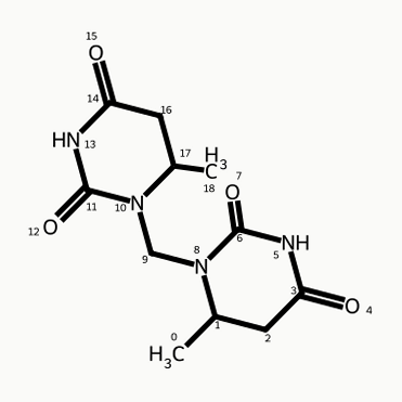 CC1CC(=O)NC(=O)N1CN1C(=O)NC(=O)CC1C